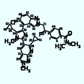 CN(C)C(=O)c1ccc([C@@H](F)Cn2cc3c(-c4nc(-c5cc6cn(C)nc6nc5C5CC5)n(C)c4C4CC4)c(Cl)ccc3n2)cc1